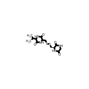 CC(C)C1NC(=O)C(CSSC[C@@H]2NC(=O)CNC2=O)NC1=O